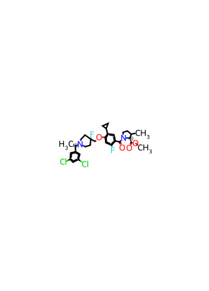 COC(=O)[C@@H]1C(C)CCN1C(=O)c1cc(C2CC2)c(OCC2(F)CCN([C@@H](C)c3cc(Cl)cc(Cl)c3)CC2)cc1F